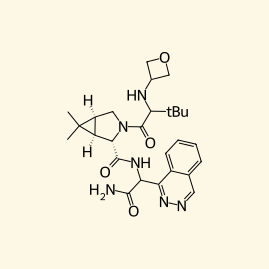 CC(C)(C)C(NC1COC1)C(=O)N1C[C@H]2[C@@H]([C@H]1C(=O)NC(C(N)=O)c1nncc3ccccc13)C2(C)C